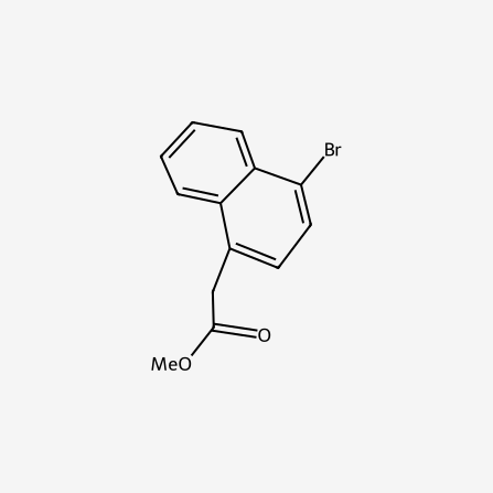 COC(=O)Cc1ccc(Br)c2ccccc12